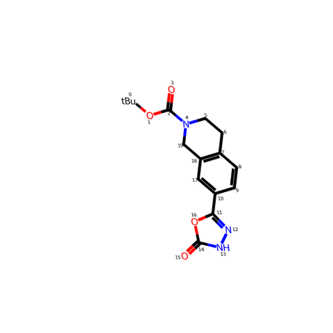 CC(C)(C)OC(=O)N1CCc2ccc(-c3n[nH]c(=O)o3)cc2C1